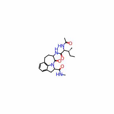 CC[C@H](C)[C@H](NC(C)=O)C(=O)NC1CCc2cccc3c2N(C1=O)C(C(=O)NC)C3